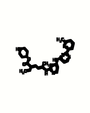 C=C/C(=C\C=C(/C)Nc1nccc(Nc2ccnc(-c3cccc(C)n3)n2)n1)C(=O)OC1CCNCC1